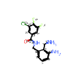 NCc1c(N)cccc1CNC(=O)c1cc(F)c(F)c(Cl)c1